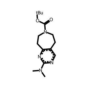 CN(C)c1ncc2c(n1)CCN(C(=O)OC(C)(C)C)CC2